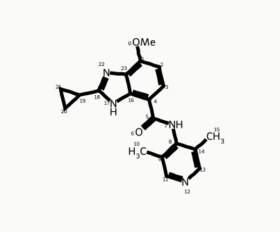 COc1ccc(C(=O)Nc2c(C)cncc2C)c2[nH]c(C3CC3)nc12